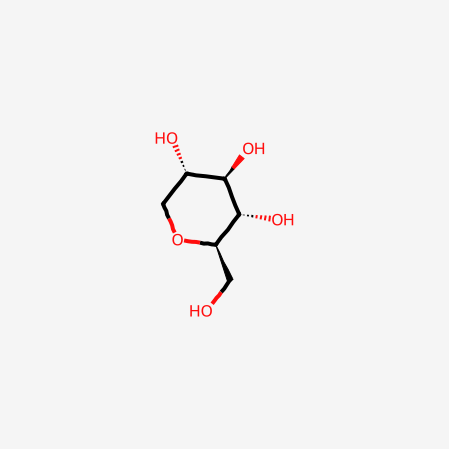 OC[C@H]1OC[C@H](O)[C@@H](O)[C@@H]1O